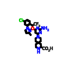 Cc1ccn(-c2cc(Cl)ccc2C(Oc2cc(N3CCC4(CCNC(C(=O)O)C4)CC3)nc(N)n2)C(F)(F)F)n1